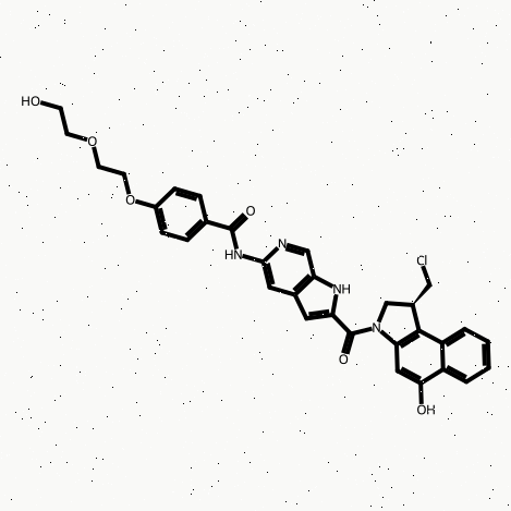 O=C(Nc1cc2cc(C(=O)N3C[C@@H](CCl)c4c3cc(O)c3ccccc43)[nH]c2cn1)c1ccc(OCCOCCO)cc1